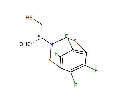 O=C[C@H](CS)N1CSc2c(F)c(F)c(c(F)c2F)S1